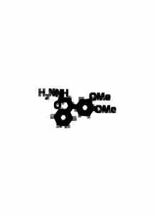 COc1ccc(C(CC(=O)NN)c2ccccc2)cc1OC